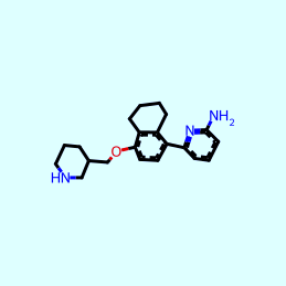 Nc1cccc(-c2ccc(OCC3CCCNC3)c3c2CCCC3)n1